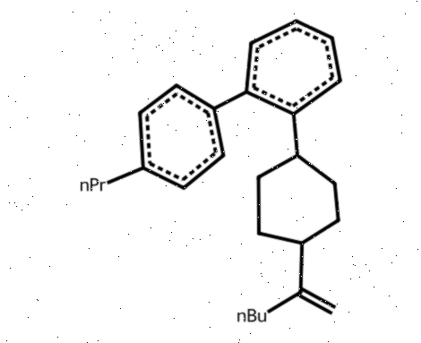 C=C(CCCC)C1CCC(c2ccccc2-c2ccc(CCC)cc2)CC1